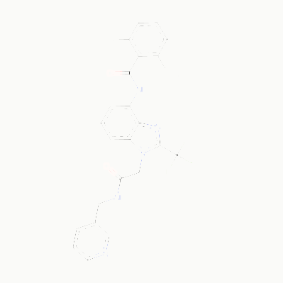 Cc1cccc(C)c1C(=O)Nc1cccc2c1nc(C(F)(F)F)n2CC(=O)NCc1cccnc1.Cl